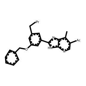 CC(=O)c1cnc2[nH]c(-c3cc(CC(C)C)cc(OCc4ccccc4)c3)nc2c1C